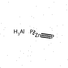 [AlH3].[P]#[Zn]#[P]